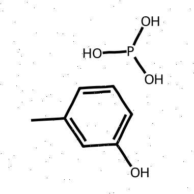 Cc1cccc(O)c1.OP(O)O